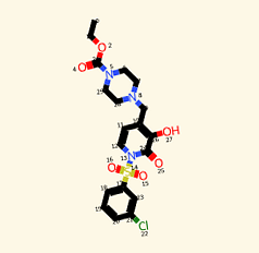 CCOC(=O)N1CCN(Cc2ccn(S(=O)(=O)c3cccc(Cl)c3)c(=O)c2O)CC1